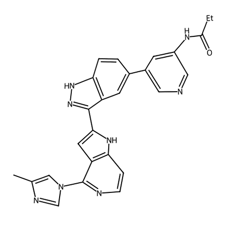 CCC(=O)Nc1cncc(-c2ccc3[nH]nc(-c4cc5c(-n6cnc(C)c6)nccc5[nH]4)c3c2)c1